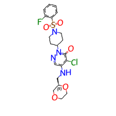 O=c1c(Cl)c(NC[C@@H]2COCCO2)cnn1C1CCN(S(=O)(=O)c2ccccc2F)CC1